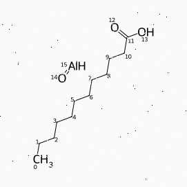 CCCCCCCCCCCC(=O)O.[O]=[AlH]